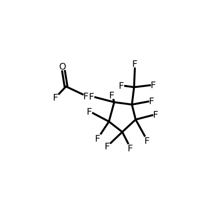 FC(F)(F)C1(F)C(F)(F)C(F)(F)C(F)(F)C1(F)F.O=C(F)F